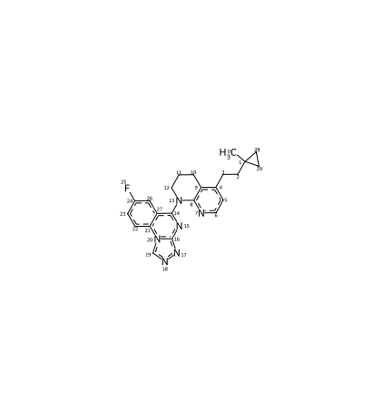 CC1(CCc2ccnc3c2CCCN3c2nc3nncn3c3ccc(F)cc23)CC1